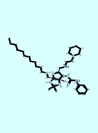 CCCCCCCCCCCCOC[C@@]12O[C@@H](CNCCN3CCCCC3)[C@@H](OC(=O)Nc3ccccc3)[C@@H]1OC(C)(C)O2